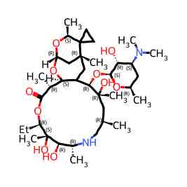 CC[C@H]1OC(=O)[C@H](C)[C@H]2O[C@H]3C[C@@](C)(CC2[C@@H](O[C@@H]2O[C@H](C)C[C@H](N(C)C)[C@H]2O)[C@](C)(O)C[C@@H](C)CN[C@H](C)[C@@H](O)[C@]1(C)O)C1(CC1)[C@H](C)O3